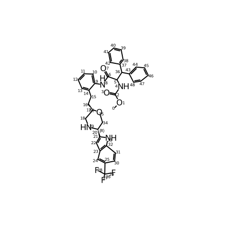 COC(=O)NC(C(=O)Nc1ccccc1CC[C@@H]1CN[C@H](c2cc3cc(C(F)(F)F)ccc3[nH]2)CO1)C(c1ccccc1)c1ccccc1